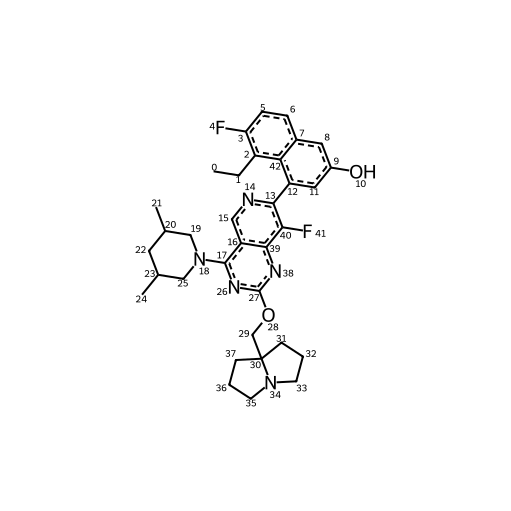 CCc1c(F)ccc2cc(O)cc(-c3ncc4c(N5CC(C)CC(C)C5)nc(OCC56CCCN5CCC6)nc4c3F)c12